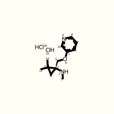 CN[C@]1(COc2cccnc2)CC1(C)C.Cl.Cl